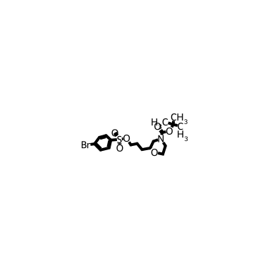 CC(C)(C)OC(=O)N1CCOC(CCCOS(=O)(=O)c2ccc(Br)cc2)C1